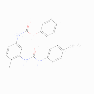 CC(=O)Nc1ccc(NC(=O)Nc2cc(NC(=O)Oc3ccccc3)ccc2C)cc1